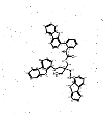 O=C(Nc1ccccc1-c1cccc2c1sc1ccccc12)OCC(CO)(CSc1cccc2c1sc1ccccc12)CSc1cccc2c1sc1ccccc12